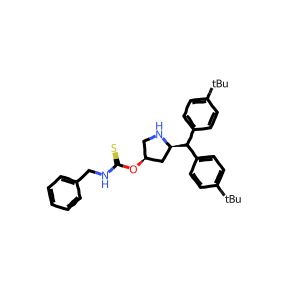 CC(C)(C)c1ccc(C(c2ccc(C(C)(C)C)cc2)[C@H]2C[C@@H](OC(=S)NCc3ccccc3)CN2)cc1